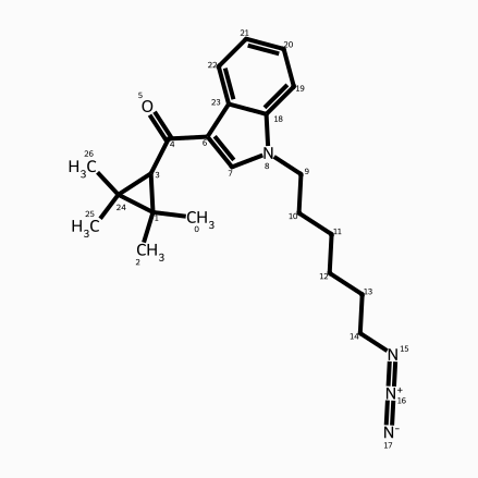 CC1(C)C(C(=O)c2cn(CCCCCCN=[N+]=[N-])c3ccccc23)C1(C)C